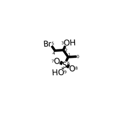 CC(C(O)CBr)S(=O)(=O)O